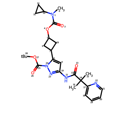 CN(C(=O)OC1CC(c2cc(NC(=O)C(C)(C)c3ccccn3)nn2C(=O)OC(C)(C)C)C1)C1CC1